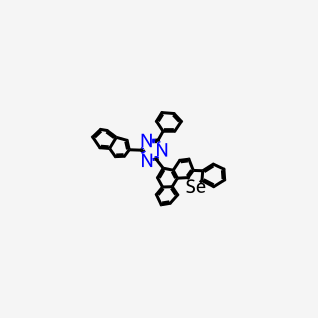 c1ccc(-c2nc(-c3ccc4ccccc4c3)nc(-c3cc4ccccc4c4c3ccc3c5ccccc5[se]c34)n2)cc1